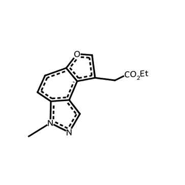 CCOC(=O)Cc1coc2ccc3c(cnn3C)c12